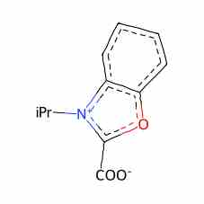 CC(C)[n+]1c(C(=O)[O-])oc2ccccc21